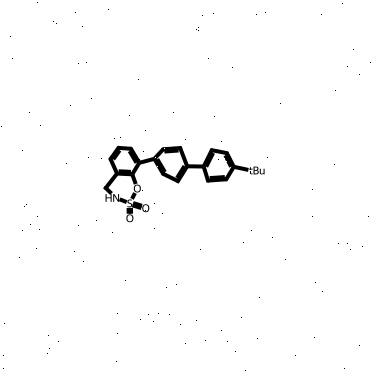 CC(C)(C)c1ccc(-c2ccc(-c3cccc4c3OS(=O)(=O)NC4)cc2)cc1